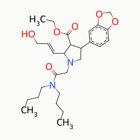 CCCCN(CCCC)C(=O)CN1CC(c2ccc3c(c2)OCO3)C(C(=O)OCC)C1C=CCO